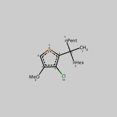 CCCCCCC(C)(CCCCC)c1scc(OC)c1Cl